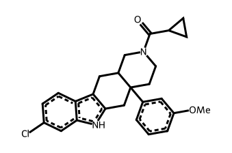 COc1cccc(C23CCN(C(=O)C4CC4)CC2Cc2c([nH]c4cc(Cl)ccc24)C3)c1